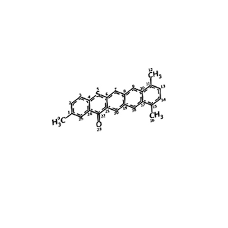 Cc1ccc2sc3cc4cc5c(C)ccc(C)c5cc4cc3c(=O)c2c1